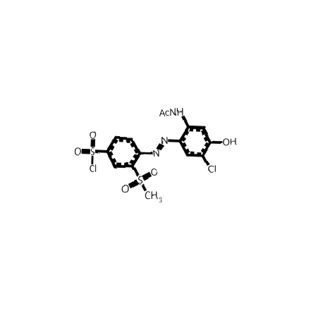 CC(=O)Nc1cc(O)c(Cl)cc1N=Nc1ccc(S(=O)(=O)Cl)cc1S(C)(=O)=O